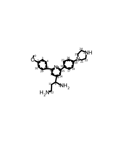 COc1ccc(-c2cc(C(N)CCN)cc(-c3ccc(N4CCNCC4)cc3)n2)cc1